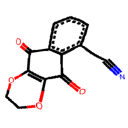 N#Cc1cccc2c1C(=O)C1=C(OCCO1)C2=O